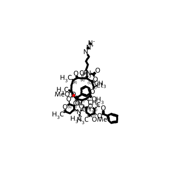 CC[C@H]1OC(=O)[C@H](C)[C@H](O[C@H]2C[C@@](C)(OC)[C@@H](OC(=O)c3ccccc3)[C@H](C)O2)[C@H](C)[C@@H](O[C@@H]2O[C@H](C)C[C@H](N(C)C)[C@H]2OC(=O)c2ccccc2)[C@@](C)(OC)C[C@@H](C)C(=O)[C@H](C)[C@H]2N(CCCCN=[N+]=[N-])C(=O)O[C@]12C